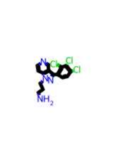 NCCCn1nc(-c2ccc(Cl)c(Cl)c2Cl)c2cnccc21